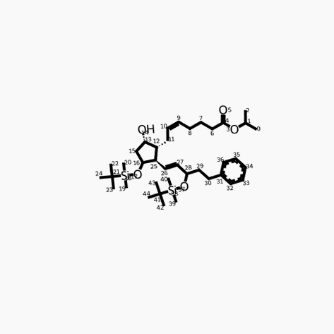 CC(C)OC(=O)CCC/C=C\C[C@H]1[C@@H](O)CC(O[Si](C)(C)C(C)(C)C)[C@@H]1/C=C/C(CCc1ccccc1)O[Si](C)(C)C(C)(C)C